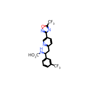 O=C(O)NC(Cc1ccc(-c2noc(C(F)(F)F)n2)cn1)c1cccc(C(F)(F)F)c1